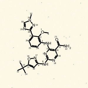 COc1c(Nc2nc(Nc3cc(C(C)(C)C)on3)ncc2C(N)=O)cccc1-c1ncn(C)n1